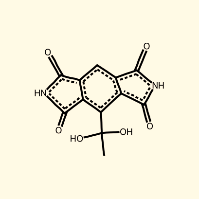 CC(O)(O)c1c2c(=O)[nH]c(=O)c2cc2c(=O)[nH]c(=O)c12